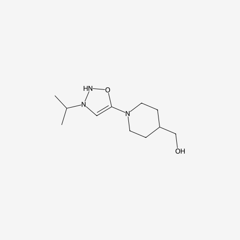 CC(C)N1C=C(N2CCC(CO)CC2)ON1